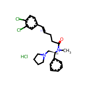 CN(C(=O)CC/C=C/c1ccc(Cl)c(Cl)c1)[C@H](CN1CCCC1)c1ccccc1.Cl